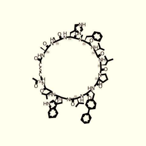 CC(=O)[C@@H]1CSCC(=O)N[C@@H](C)C(=O)N[C@@H](C)C(=O)N[C@@H](Cc2c[nH]cn2)C(=O)N(C)[C@@H](Cc2ccccc2)C(=O)N[C@@H](C(C)C)C(=O)N[C@@H](CC(C)C)C(=O)N2CCC[C@H]2C(=O)N[C@@H](Cc2ccc(-c3ccccc3)cc2)C(=O)N[C@@H](C(C)C)C(=O)N[C@@H](Cc2c[nH]c3ccccc23)C(=O)NC(C(C)C)C(=O)N1